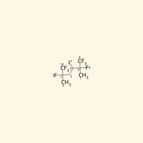 CC(F)(CC(I)C(C)(F)C(F)(F)F)C(F)(F)F